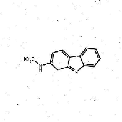 O=C(O)NC1=CC=C2C(=Nc3ccccc32)C1